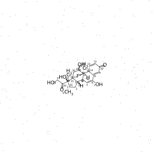 C[C@H]1C[C@H]2[C@@H]3C=C(O)C4=CC(=O)C=C[C@]4(C)[C@@]3(F)[C@H](O)C[C@]2(C)[C@@]1(O)C(=O)CO